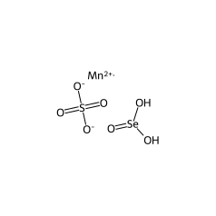 O=S(=O)([O-])[O-].O=[Se](O)O.[Mn+2]